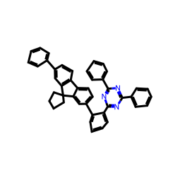 c1ccc(-c2ccc3c(c2)C2(CCCC2)c2cc(-c4ccccc4-c4nc(-c5ccccc5)nc(-c5ccccc5)n4)ccc2-3)cc1